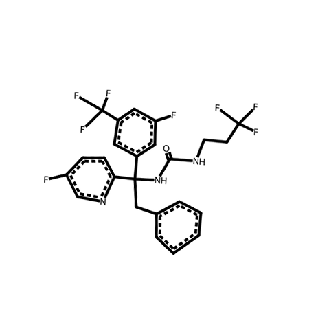 O=C(NCCC(F)(F)F)NC(Cc1ccccc1)(c1cc(F)cc(C(F)(F)F)c1)c1ccc(F)cn1